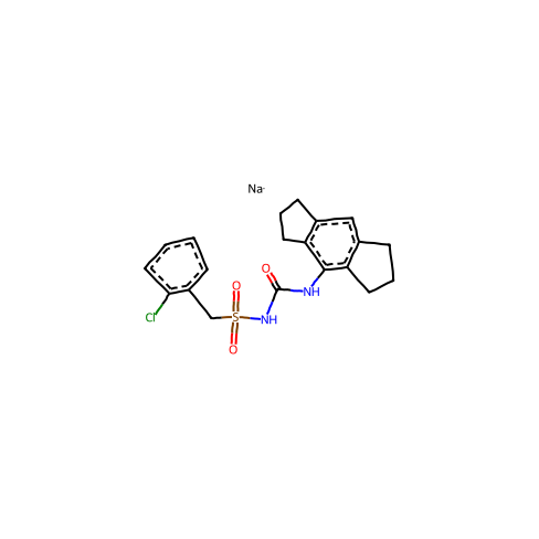 O=C(Nc1c2c(cc3c1CCC3)CCC2)NS(=O)(=O)Cc1ccccc1Cl.[Na]